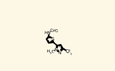 Cn1nc(C(F)(F)F)cc1-c1ccc(NC=O)s1